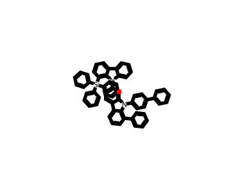 c1ccc(-c2ccc(-n3c4cc(-n5c6ccccc6c6cccc([Si](c7ccccc7)(c7ccccc7)c7ccccc7)c65)ccc4c4cccc(-c5ccccc5)c43)cc2)cc1